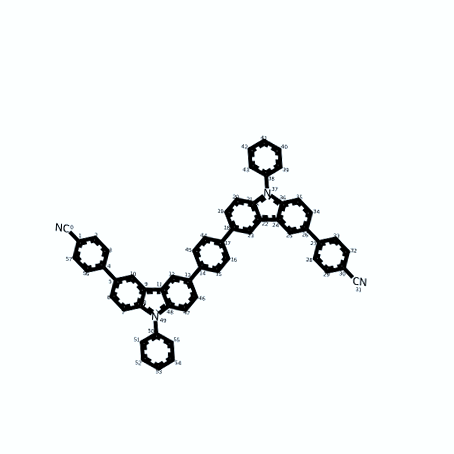 N#Cc1ccc(-c2ccc3c(c2)c2cc(-c4ccc(-c5ccc6c(c5)c5cc(-c7ccc(C#N)cc7)ccc5n6-c5ccccc5)cc4)ccc2n3-c2ccccc2)cc1